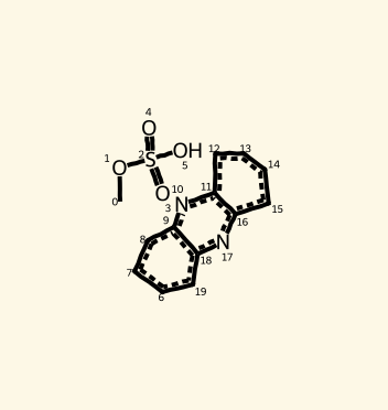 COS(=O)(=O)O.c1ccc2nc3ccccc3nc2c1